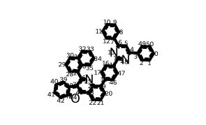 c1ccc(-c2cc(-c3ccccc3)nc(-c3ccc(-c4cccc5c4nc(-c4cccc6ccccc46)c4c6ccccc6oc54)cc3)n2)cc1